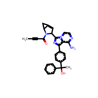 CC#CC(=O)N1C2CC2=CC1c1nc(-c2ccc(C(C)(O)c3ccccc3)cc2)c2c(N)nccn12